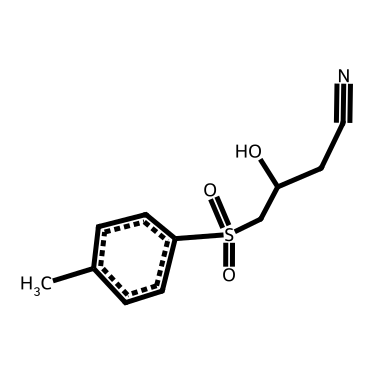 Cc1ccc(S(=O)(=O)CC(O)CC#N)cc1